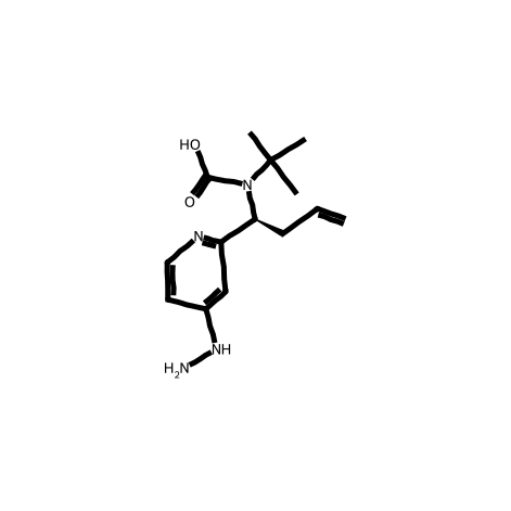 C=CC[C@@H](c1cc(NN)ccn1)N(C(=O)O)C(C)(C)C